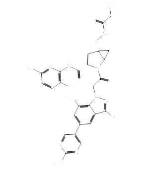 CC(=O)c1nn(CC(=O)N2C3C[C@]3(CNC(=O)CC(F)(F)F)C[C@H]2C(=O)Nc2nc(Br)ccc2C)c2c(C)cc(-c3cnc(C)nc3)cc12